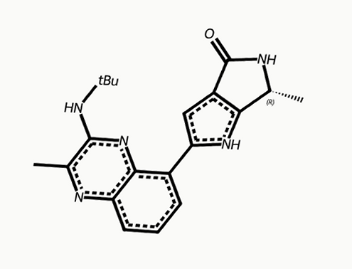 Cc1nc2cccc(-c3cc4c([nH]3)[C@@H](C)NC4=O)c2nc1NC(C)(C)C